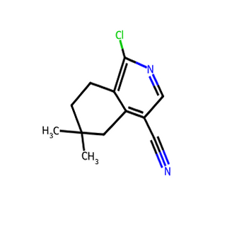 CC1(C)CCc2c(Cl)ncc(C#N)c2C1